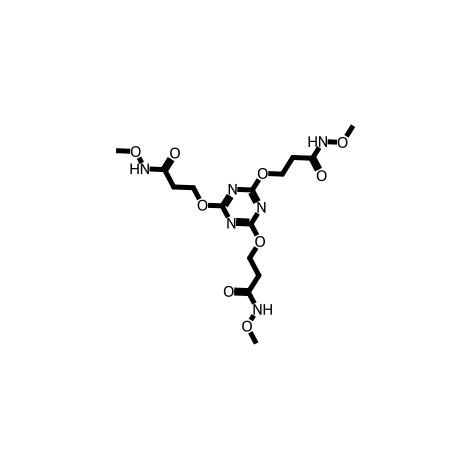 CONC(=O)CCOc1nc(OCCC(=O)NOC)nc(OCCC(=O)NOC)n1